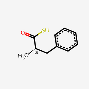 C[C@@H](Cc1ccccc1)C(=O)S